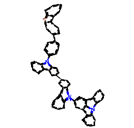 c1ccc2c(c1)sc1cc(-c3ccc(-n4c5ccccc5c5cc(-c6ccc7c(c6)c6ccccc6n7-c6cc7c8ccccc8n8c9ccccc9c(c6)c78)ccc54)cc3)ccc12